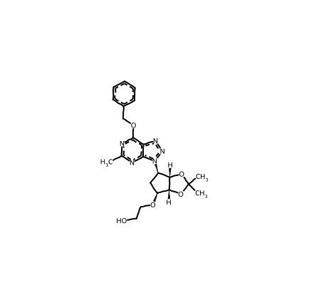 Cc1nc(OCc2ccccc2)c2nnn([C@@H]3C[C@H](OCCO)[C@H]4OC(C)(C)O[C@H]43)c2n1